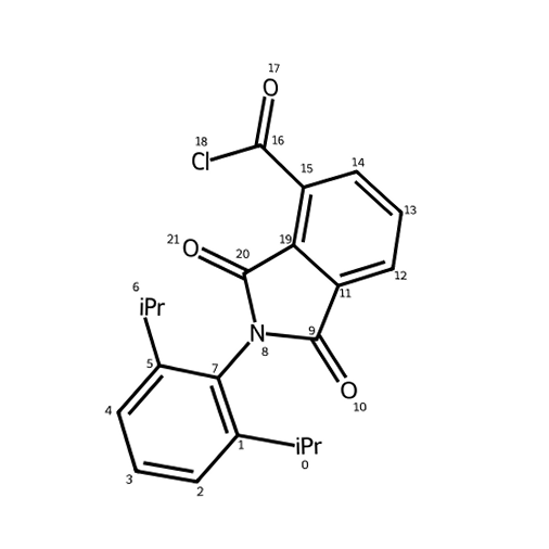 CC(C)c1cccc(C(C)C)c1N1C(=O)c2cccc(C(=O)Cl)c2C1=O